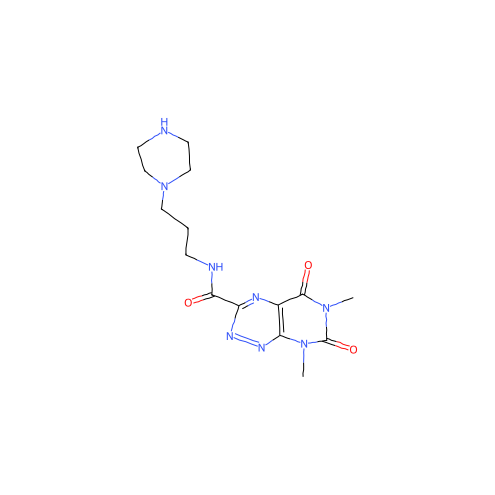 Cn1c(=O)c2nc(C(=O)NCCCN3CCNCC3)nnc2n(C)c1=O